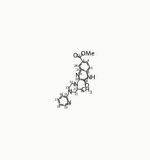 COC(=O)c1ccc2[nH]c(=O)c(N3CCN(c4ccccn4)C[C@@H]3C)nc2c1